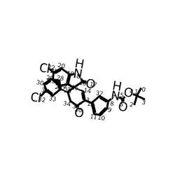 CC(C)(C)OC(=O)Nc1cccc(C2=C[C@@]3(C(=O)Nc4cc(Cl)ccc43)[C@H](c3cccc(Cl)c3)CC2=O)c1